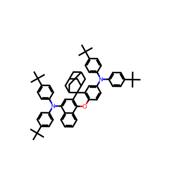 CC(C)(C)c1ccc(N(c2ccc(C(C)(C)C)cc2)c2ccc3c(c2)C2(c4cc(N(c5ccc(C(C)(C)C)cc5)c5ccc(C(C)(C)C)cc5)c5ccccc5c4O3)C3CC4CC(C3)CC2C4)cc1